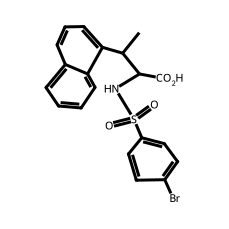 CC(c1cccc2ccccc12)C(NS(=O)(=O)c1ccc(Br)cc1)C(=O)O